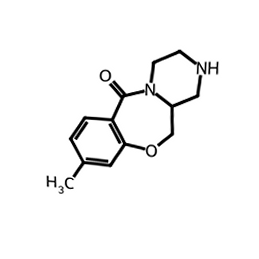 Cc1ccc2c(c1)OCC1CNCCN1C2=O